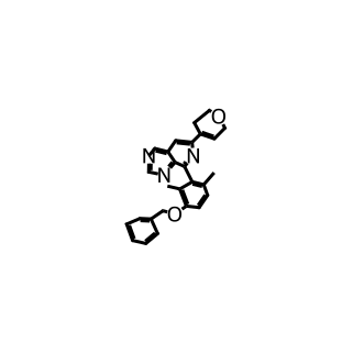 Cc1ccc(OCc2ccccc2)c(C)c1-c1nc(C2=CCOCC2)cc2cncnc12